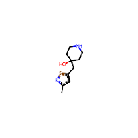 Cc1cc(CC2(O)CCNCC2)sn1